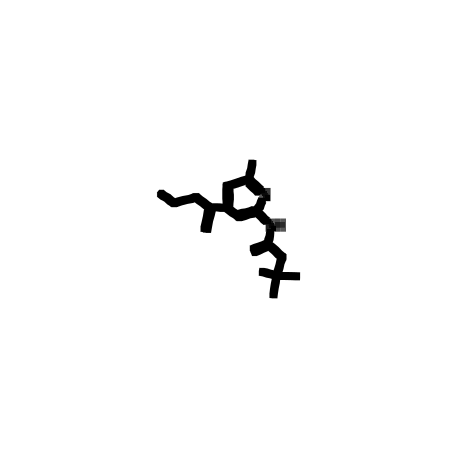 C=C(CC(C)(C)C)Nc1cc(C(=C)CCC)cc(C)n1